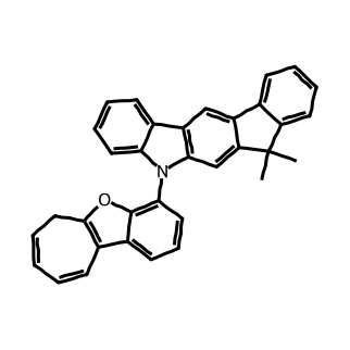 CC1(C)c2ccccc2-c2cc3c4ccccc4n(-c4cccc5c6c(oc45)CC=CC=C6)c3cc21